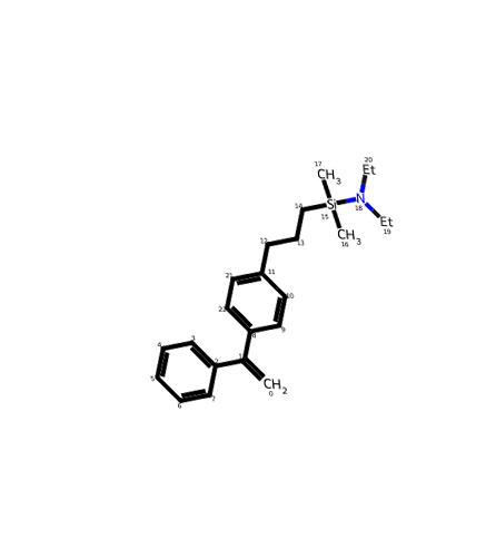 C=C(c1ccccc1)c1ccc(CCC[Si](C)(C)N(CC)CC)cc1